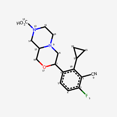 N#Cc1c(F)ccc(C2CN3CCN(C(=O)O)CC3CO2)c1C1CC1